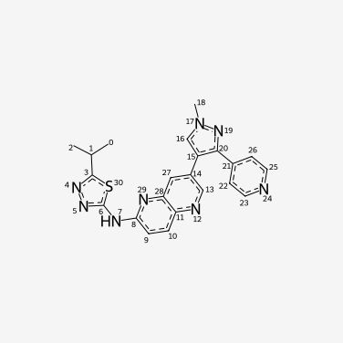 CC(C)c1nnc(Nc2ccc3ncc(-c4cn(C)nc4-c4ccncc4)cc3n2)s1